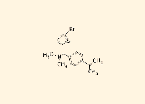 C=C(C)c1ccc(C(c2ccc(Br)s2)N(C)C)cc1